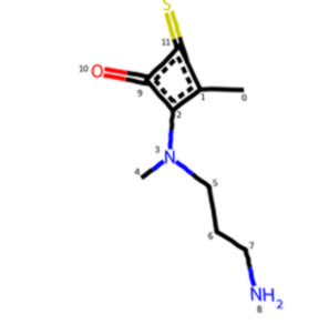 Cc1c(N(C)CCCN)c(=O)c1=S